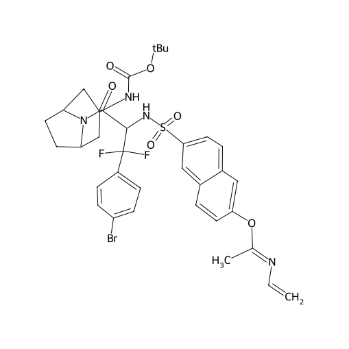 C=C/N=C(\C)Oc1ccc2cc(S(=O)(=O)NC(C(=O)N3C4CCC3CC(NC(=O)OC(C)(C)C)C4)C(F)(F)c3ccc(Br)cc3)ccc2c1